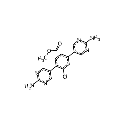 COC=O.Nc1ncc(-c2ccc(-c3cnc(N)nc3)c(Cl)c2)cn1